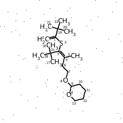 C=C(S/C(=C(\C)CCOC1CCCCO1)C(C)(C)C)C(C)(C)C